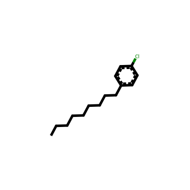 CCCCCCCCCc1ccc(Cl)cc1